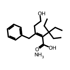 CCC(CC)(CC)C(C(=O)O)=C(CCO)Cc1ccccc1.N